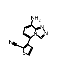 N#Cc1sccc1-c1ccc(N)c2nncn12